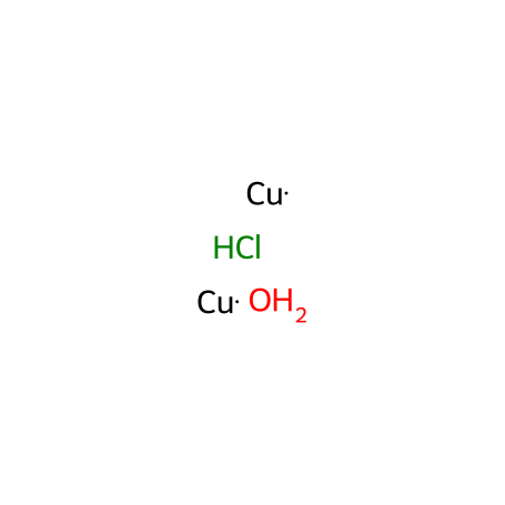 Cl.O.[Cu].[Cu]